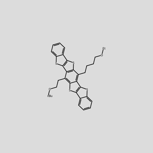 CCCCOCCc1c2sc3c4ccccc4sc3c2c(CCCCOCC)c2sc3c4ccccc4sc3c12